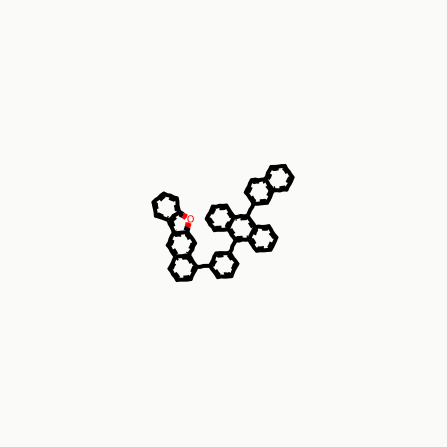 c1cc(-c2cccc3cc4c(cc23)oc2ccccc24)cc(-c2c3ccccc3c(-c3ccc4ccccc4c3)c3ccccc23)c1